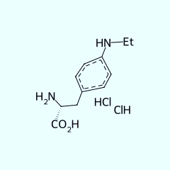 CCNc1ccc(C[C@@H](N)C(=O)O)cc1.Cl.Cl